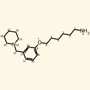 NCCCCCCOc1cccc(CN2CCCCC2)c1